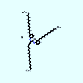 CCCCCCCCCCCCCCCCCCCCCCCCC#CC(=N/c1cccc(CCCCCCCCCCCCCCCCCCCCCC)c1)/C(CCCC)=N/c1cccc(CCCCCCCCCCCCCCCCCCCCCC)c1.[Ni]